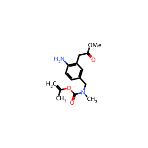 C=C(C)OC(=O)N(C)Cc1ccc(N)c(CC(=O)OC)c1